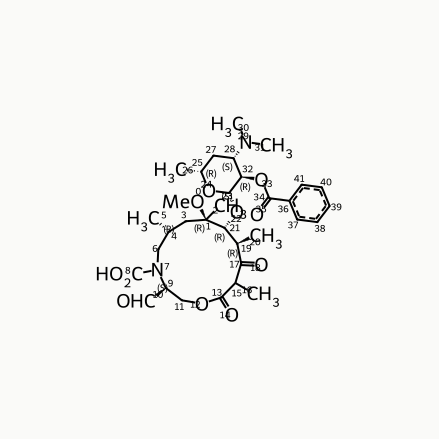 CO[C@]1(C)C[C@@H](C)CN(C(=O)O)[C@H](C=O)COC(=O)C(C)C(=O)[C@H](C)[C@H]1O[C@@H]1O[C@H](C)C[C@H](N(C)C)[C@H]1OC(=O)c1ccccc1